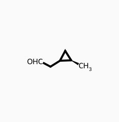 C[C@@H]1CC1CC=O